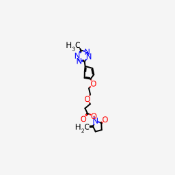 C=C1CCC(=O)N1OC(=O)CCOCCOc1ccc(-c2nnc(C)nn2)cc1